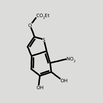 CCOC(=O)Oc1cc2cc(O)c(O)c([N+](=O)[O-])c2s1